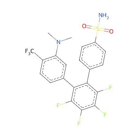 CN(C)c1cc(-c2c(F)c(F)c(F)c(F)c2-c2ccc(S(N)(=O)=O)cc2)ccc1C(F)(F)F